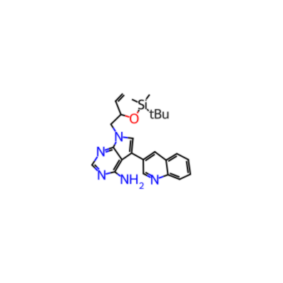 C=CC(Cn1cc(-c2cnc3ccccc3c2)c2c(N)ncnc21)O[Si](C)(C)C(C)(C)C